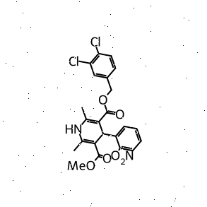 COC(=O)C1=C(C)NC(C)=C(C(=O)OCc2ccc(Cl)c(Cl)c2)C1c1ccccc1[N+](=O)[O-]